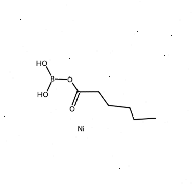 CCCCCC(=O)OB(O)O.[Ni]